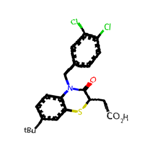 CC(C)(C)c1ccc2c(c1)SC(CC(=O)O)C(=O)N2Cc1ccc(Cl)c(Cl)c1